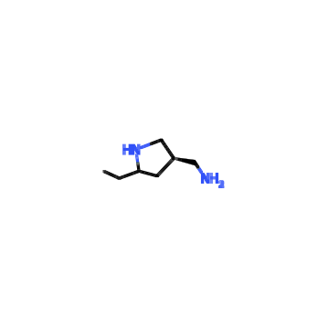 CCC1C[C@H](CN)CN1